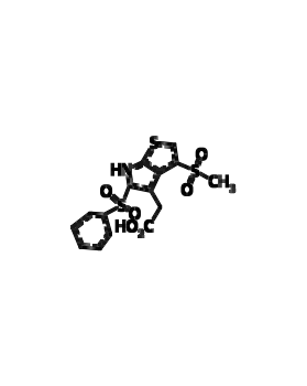 CS(=O)(=O)c1csc2[nH]c(S(=O)(=O)c3ccccc3)c(CC(=O)O)c12